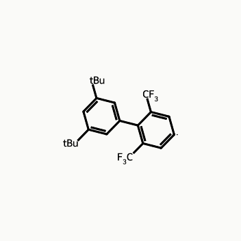 CC(C)(C)c1cc(-c2c(C(F)(F)F)c[c]cc2C(F)(F)F)cc(C(C)(C)C)c1